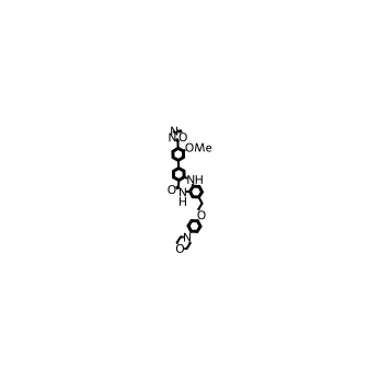 COc1cc(-c2ccc3c(c2)Nc2ccc(CCOc4ccc(N5CCOCC5)cc4)cc2NC3=O)ccc1-c1nnco1